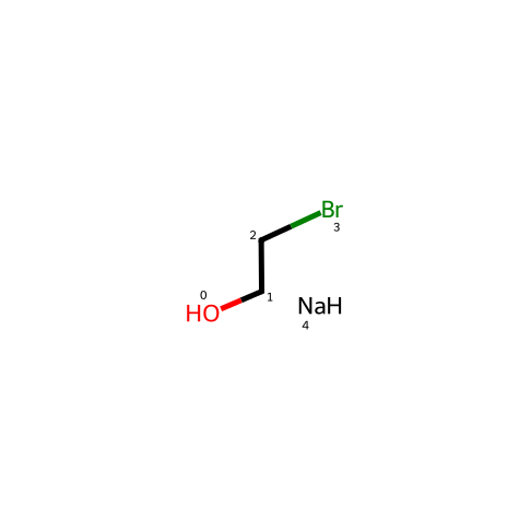 OCCBr.[NaH]